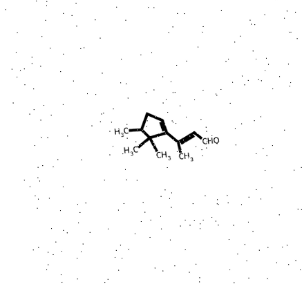 CC(=CC=O)C1=CCC(C)C1(C)C